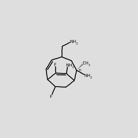 C[C@@]1(N)CC(CN)C=CC2C(F)=C(N)C1CC2F